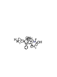 CCCC[C@]1(CC)CN(c2ccccc2)c2cc(SC)c(O/C=C(\F)C(=O)O)cc2S(O)(O)C1